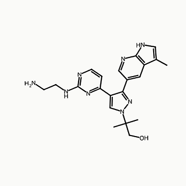 Cc1c[nH]c2ncc(-c3nn(C(C)(C)CO)cc3-c3ccnc(NCCN)n3)cc12